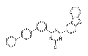 Clc1nc(-c2cccc(-c3ccc(-c4ccccc4)cc3)c2)nc(-c2ccc3sc4ccccc4c3c2)n1